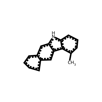 Cc1cccc2[nH]c3cc4ccccc4cc3c12